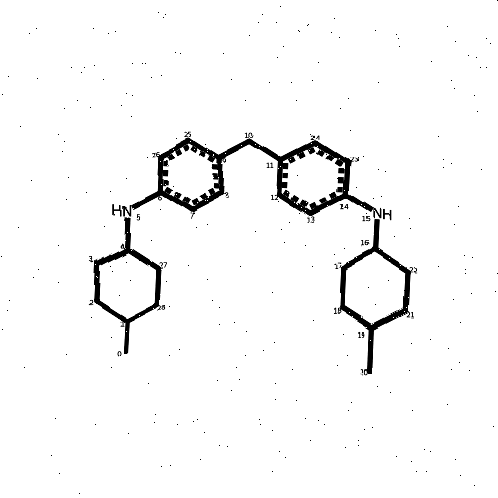 CC1CCC(Nc2ccc(Cc3ccc(NC4CCC(C)CC4)cc3)cc2)CC1